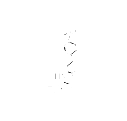 NC(=S)NC(=O)C=Cc1ccc([N+](=O)[O-])cc1